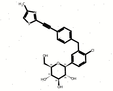 Cc1csc(C#Cc2ccc(Cc3cc([C@@H]4O[C@H](CO)[C@@H](O)[C@H](O)[C@H]4O)ccc3Cl)cc2)n1